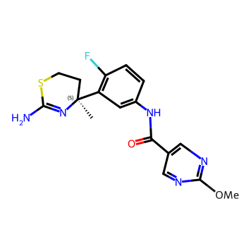 COc1ncc(C(=O)Nc2ccc(F)c([C@]3(C)CCSC(N)=N3)c2)cn1